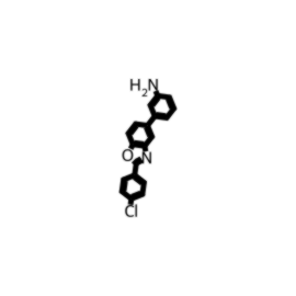 Nc1cccc(-c2ccc3oc(-c4ccc(Cl)cc4)nc3c2)c1